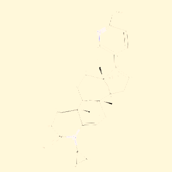 COc1ccc(C2=CC[C@H]3[C@@H]4CC=C5N(C6CC6)C(=O)CC[C@]5(C)[C@H]4CC[C@]23C)cn1